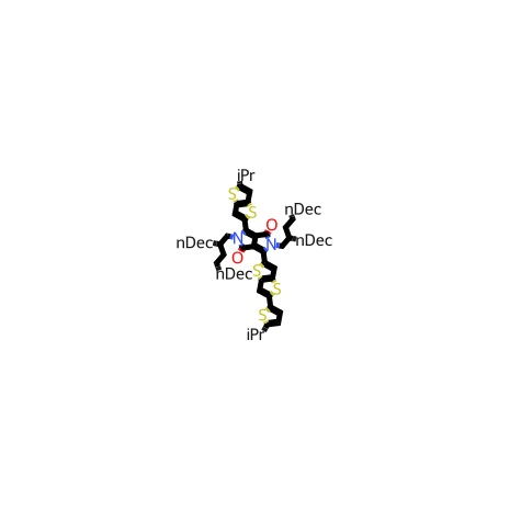 CCCCCCCCCCCCC(CCCCCCCCCC)CN1C(=O)C2=C(c3cc4sc(C(C)C)cc4s3)N(CC(CCCCCCCCCC)CCCCCCCCCCCC)C(=O)C2=C1c1cc2sc(-c3ccc(C(C)C)s3)cc2s1